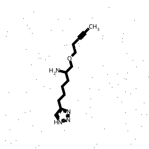 CC#CCCOCC(N)CCCCc1c[nH]nn1